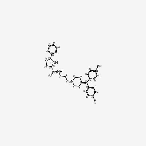 O=C(NCCCN1CCC(=C(c2ccc(F)cc2)c2ccc(F)cc2)CC1)[C@@H]1CSC(c2cccnc2)N1